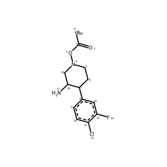 CC(C)(C)C(=O)ON1CCC(c2ccc(Cl)c(F)c2)C(N)C1